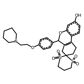 O=S1(=O)CCCS(=O)(=O)C12CCC1=C(C2)C(c2ccc(OCCN3CCCCC3)cc2)Oc2cc(O)ccc21